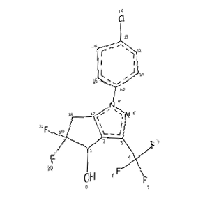 OC1c2c(C(F)(F)F)nn(-c3ccc(Cl)cc3)c2CC1(F)F